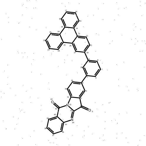 O=C1c2cc(-c3cccc(-c4ccc5c6ccccc6c6ccccc6c5c4)c3)ccc2-n2c1nc1ccccc1c2=O